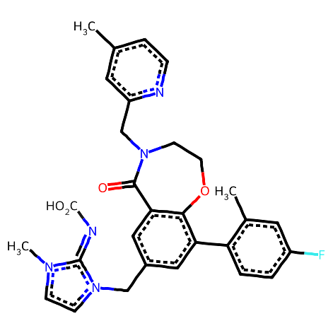 Cc1ccnc(CN2CCOc3c(cc(Cn4ccn(C)c4=NC(=O)O)cc3-c3ccc(F)cc3C)C2=O)c1